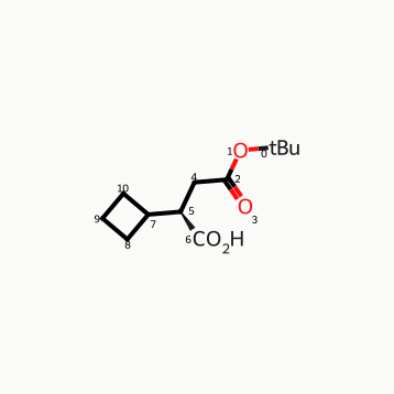 CC(C)(C)OC(=O)C[C@@H](C(=O)O)C1CCC1